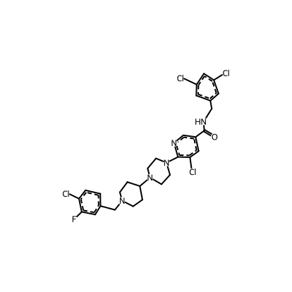 O=C(NCc1cc(Cl)cc(Cl)c1)c1cnc(N2CCN(C3CCN(Cc4ccc(Cl)c(F)c4)CC3)CC2)c(Cl)c1